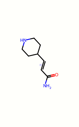 NC(=O)/C=C/C1CCNCC1